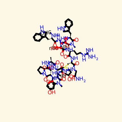 CCCC[C@@H](C(=O)N(C)[C@@H](CCCC)C(=O)N[C@@H](CCCNC(=N)N)C(=O)N[C@@H](CSCC(=O)N[C@@H](Cc1ccc(O)cc1)C(=O)N(C)[C@@H](C)C(=O)N[C@@H](CC(N)=O)C(=O)N1CCC[C@H]1C(=O)N[C@@H](C)C(=O)N[C@@H](CC(C)C)C(=O)N1CC[C@H](O)C1)C(=O)NCC(N)=O)N(C)C(=O)[C@H](Cc1c[nH]c2ccccc12)NC(=O)[C@H](CO)NC(=O)[C@H](Cc1c[nH]c2ccccc12)NC=O